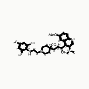 COc1ccc2ncc(N(C)C)c([C@@H](O)CCC3(C(=O)O)CCN(CCNc4c(F)cc(F)cc4F)CC3)c2c1